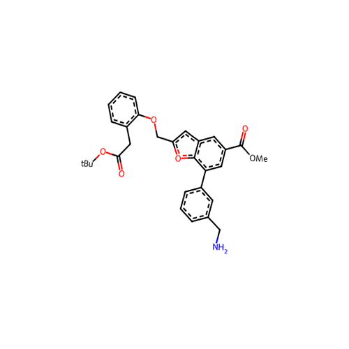 COC(=O)c1cc(-c2cccc(CN)c2)c2oc(COc3ccccc3CC(=O)OC(C)(C)C)cc2c1